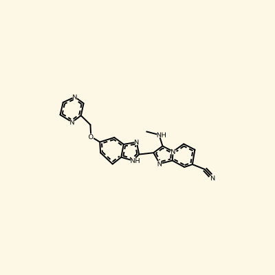 CNc1c(-c2nc3cc(OCc4cnccn4)ccc3[nH]2)nc2cc(C#N)ccn12